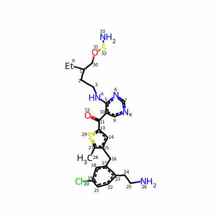 CCC(CCNc1ncncc1C(=O)c1cc(Cc2cc(Cl)ccc2CCN)c(C)s1)COSN